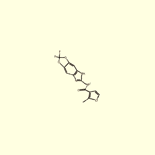 Cc1occc1C(=O)Nc1nc2cc3c(cc2[nH]1)OC(F)(F)O3